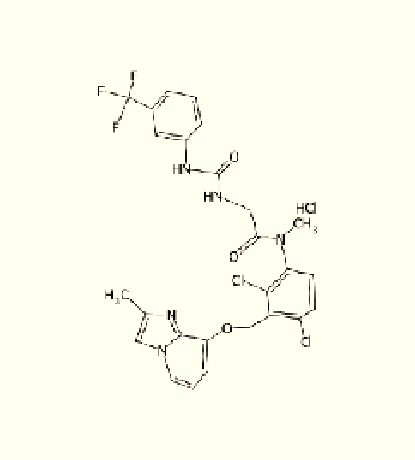 Cc1cn2cccc(OCc3c(Cl)ccc(N(C)C(=O)CNC(=O)Nc4cccc(C(F)(F)F)c4)c3Cl)c2n1.Cl